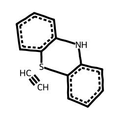 C#C.c1ccc2c(c1)Nc1ccccc1S2